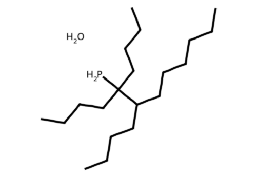 CCCCCCC(CCCC)C(P)(CCCC)CCCC.O